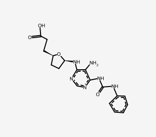 Nc1c(NC(=O)Nc2ccccc2)ncnc1N[C@H]1CC[C@@H](CCC(=O)O)O1